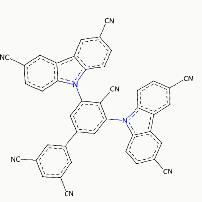 N#Cc1cc(C#N)cc(-c2cc(-n3c4ccc(C#N)cc4c4cc(C#N)ccc43)c(C#N)c(-n3c4ccc(C#N)cc4c4cc(C#N)ccc43)c2)c1